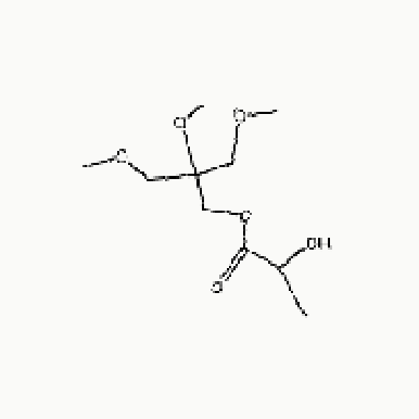 COCC(COC)(COC(=O)C(C)O)OC